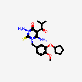 COc1ccc(Cn2c(N)c(C(=O)C(C)C)c(=O)n(N)c2=S)cc1OC1CCCC1